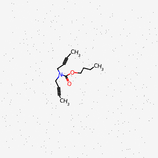 CC#CCN(CC#CC)C(=O)OCCCC